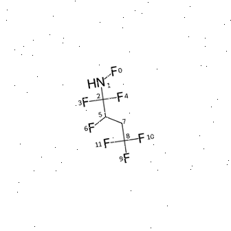 FNC(F)(F)C(F)CC(F)(F)F